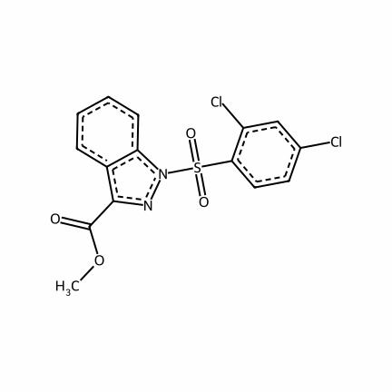 COC(=O)c1nn(S(=O)(=O)c2ccc(Cl)cc2Cl)c2ccccc12